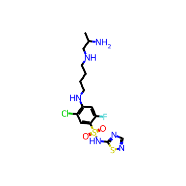 CC(N)CNCCCCNc1cc(F)c(S(=O)(=O)Nc2ncns2)cc1Cl